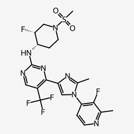 Cc1nccc(-n2cc(-c3nc(N[C@H]4CCN(S(C)(=O)=O)C[C@H]4F)ncc3C(F)(F)F)nc2C)c1F